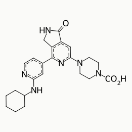 O=C1NCc2c1cc(N1CCN(C(=O)O)CC1)nc2-c1ccnc(NC2CCCCC2)c1